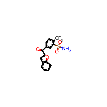 NS(=O)(=O)c1cc(C(=O)c2cc3ccccc3o2)ccc1C(F)(F)F